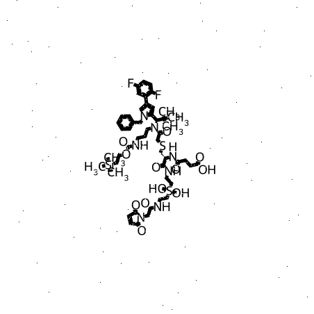 CC(C)(C)[C@H](c1cc(-c2cc(F)ccc2F)cn1Cc1ccccc1)N(CCCNC(=O)OCC[Si](C)(C)C)C(=O)CSC[C@H](NC(=O)CCC(=O)O)C(=O)NCCS(O)(O)CCNC(=O)CN1C(=O)C=CC1=O